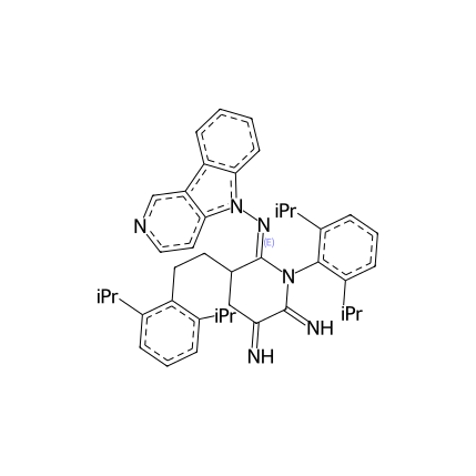 CC(C)c1cccc(C(C)C)c1CCC1CC(=N)C(=N)N(c2c(C(C)C)cccc2C(C)C)/C1=N/n1c2ccccc2c2cnccc21